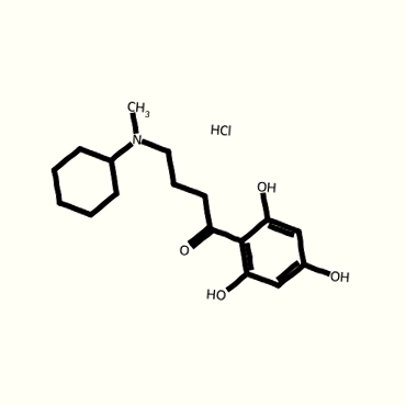 CN(CCCC(=O)c1c(O)cc(O)cc1O)C1CCCCC1.Cl